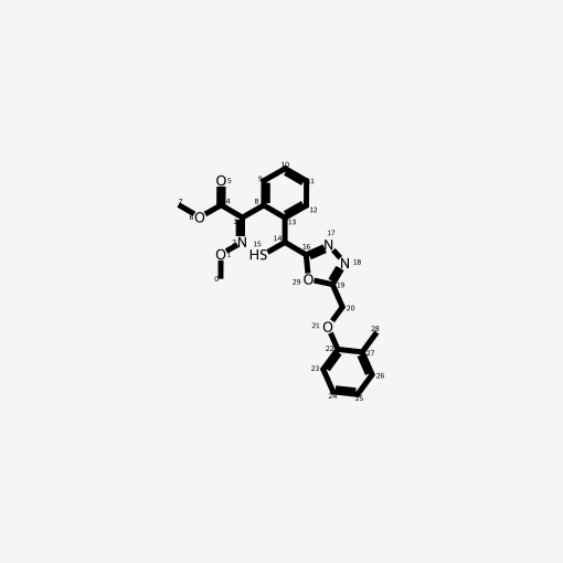 CON=C(C(=O)OC)c1ccccc1C(S)c1nnc(COc2ccccc2C)o1